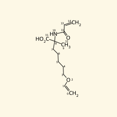 C=COCCCCCC(C)(NC(=O)C=C)C(=O)O